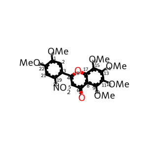 COc1cc(-c2cc(=O)c3c(OC)c(OC)c(OC)c(OC)c3o2)c([N+](=O)[O-])cc1OC